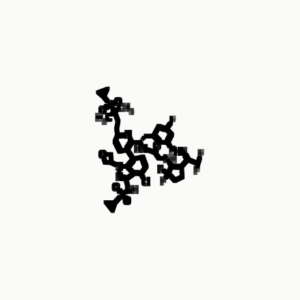 CC(C)(CCc1ccc(-c2ccc(Cl)c3c(NS(=O)(=O)C4CC4)nn(C4COC4)c23)c([C@H](Cc2cc(F)cc(F)c2)NC(=O)CNC2=C(C(=N)C(F)F)CCC2(F)F)n1)S(=O)(=O)C1CC1